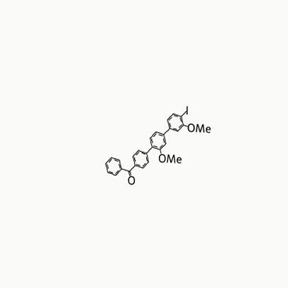 COc1cc(-c2ccc(-c3ccc(C(=O)c4ccccc4)cc3)c(OC)c2)ccc1I